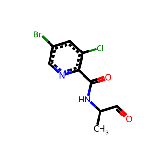 CC(C=O)NC(=O)c1ncc(Br)cc1Cl